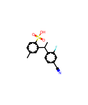 Cc1ccc(S(=O)(=O)O)c(C(C)c2ccc(C#N)cc2F)c1